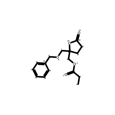 CCC(=O)OCC1(COCc2ccccc2)CCC(=O)O1